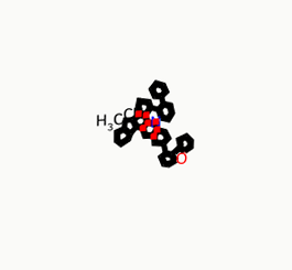 CC1(C)c2ccccc2-c2cc(N(c3ccc(-c4cccc5oc6ccccc6c45)cc3)c3cccc(-c4ccccc4)c3-c3ccccc3-c3ccccc3)ccc21